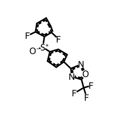 [O-][S+](c1ccc(-c2noc(C(F)(F)F)n2)cc1)c1c(F)cccc1F